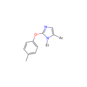 CCn1c(C(C)=O)cnc1Oc1ccc(C)cc1